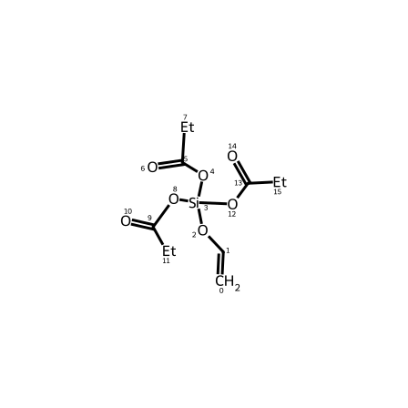 C=CO[Si](OC(=O)CC)(OC(=O)CC)OC(=O)CC